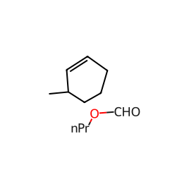 CC1C=CCCC1.CCCOC=O